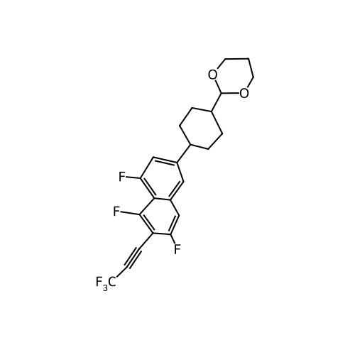 Fc1cc2cc(C3CCC(C4OCCCO4)CC3)cc(F)c2c(F)c1C#CC(F)(F)F